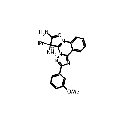 COc1cccc(-c2nc3c4ccccc4nc([C@](N)(C(N)=O)C(C)C)n3n2)c1